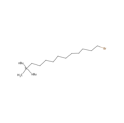 CCCC[Si](C)(CCCC)CCCCCCCCCCCBr